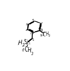 C[SiH2]Cc1ccccc1C